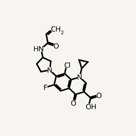 C=CC(=O)NC1CCN(c2c(F)cc3c(=O)c(C(=O)O)cn(C4CC4)c3c2Cl)C1